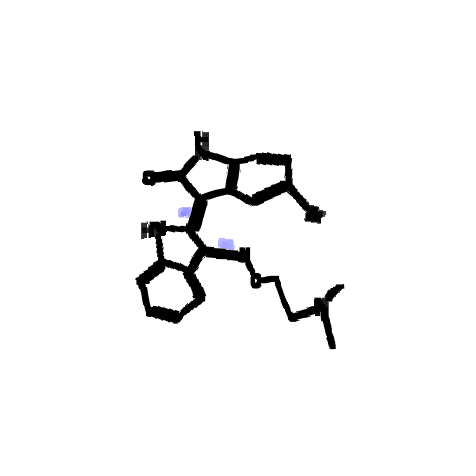 CN(C)CCO/N=C1/C(=C2/C(=O)Nc3ccc(Br)cc32)Nc2ccccc21